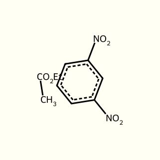 CCOC(C)=O.O=[N+]([O-])c1cccc([N+](=O)[O-])c1